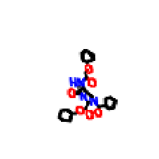 O=C(COc1ccccc1)N[C@@H]1C(=O)N2C1CN(C(=O)c1ccccc1)C2C(=O)OCc1ccccc1